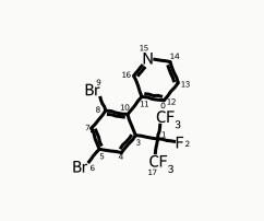 FC(F)(F)C(F)(c1cc(Br)[c]c(Br)c1-c1cccnc1)C(F)(F)F